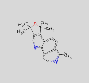 Cc1nccc2c1ccc1c3c(cnc12)C(C)(C)OC3(C)C